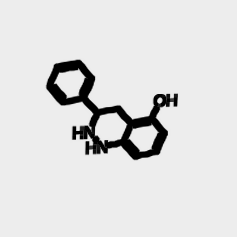 Oc1cccc2c1CC(c1ccccc1)NN2